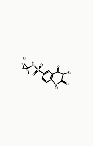 CC[C@H]1C[C@@]1(C)NS(=O)(=O)c1ccc2c(c1)c(=O)n(CC)c(=O)n2CC